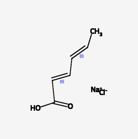 C/C=C/C=C/C(=O)O.[Cl-].[Na+]